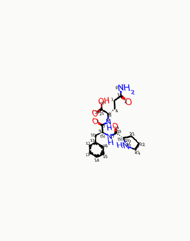 NC(=O)CC[C@H](NC(=O)[C@H](Cc1ccccc1)NC(=O)[C@@H]1CCCN1)C(=O)O